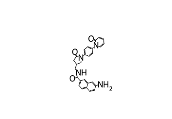 Nc1ccc2ccc(C(=O)NCC3CC(=O)N(c4ccc(-n5ccccc5=O)cc4)C3)cc2c1